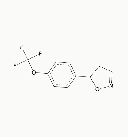 FC(F)(F)Oc1ccc(C2CC=NO2)cc1